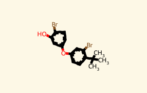 CC(C)(C)c1ccc(Oc2ccc(Br)c(O)c2)cc1Br